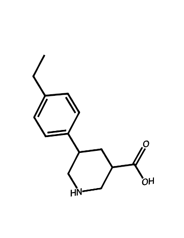 CCc1ccc(C2CNCC(C(=O)O)C2)cc1